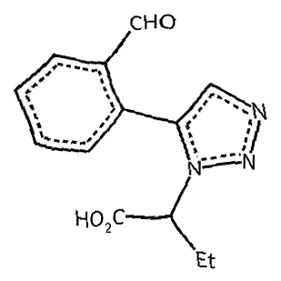 CCC(C(=O)O)n1nncc1-c1ccccc1C=O